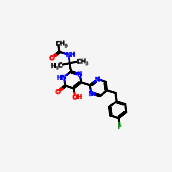 CC(=O)NC(C)(C)c1nc(-c2ncc(Cc3ccc(F)cc3)cn2)c(O)c(=O)[nH]1